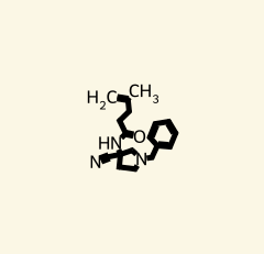 C=C(C)CCC(=O)NC1(C#N)CCN(Cc2ccccc2)C1